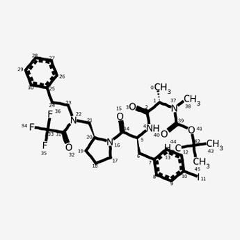 C[C@@H](C(=O)N[C@@H](Cc1ccc(I)cc1)C(=O)N1CCC[C@H]1CN(CCc1ccccc1)C(=O)C(F)(F)F)N(C)C(=O)OC(C)(C)C